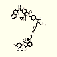 CN(CCOCCOCCNc1cccc2c1C(=O)N(C1CCC(=O)NC1=O)C2=O)C(=O)C1CCC(NC(=O)c2cnc(Nc3ccc4cnccc4n3)cc2NC2CC2)CC1